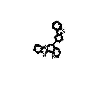 c1ccc2c(c1)nc1c3ncccc3c(-c3ccc4sc5ccccc5c4c3)cn21